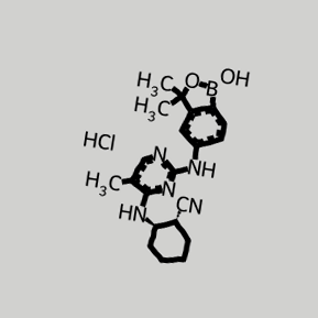 Cc1cnc(Nc2ccc3c(c2)C(C)(C)OB3O)nc1N[C@@H]1CCCC[C@H]1C#N.Cl